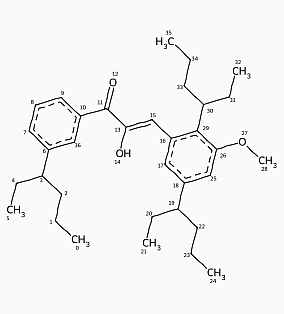 CCCC(CC)c1cccc(C(=O)C(O)=Cc2cc(C(CC)CCC)cc(OC)c2C(CC)CCC)c1